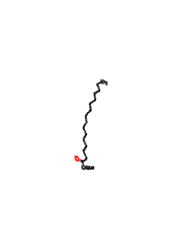 COC(=O)CCCCCCCCCCCCCCC(C)C